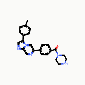 Cc1ccc(-c2cnc3cnc(-c4ccc(C(=O)N5CCNCC5)cc4)cn23)cc1